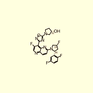 O[C@H]1CCN(c2nc(-c3c(F)cnc4ccc(N5C[C@@H](F)C[C@@H]5c5cc(F)ccc5F)nc34)no2)C1